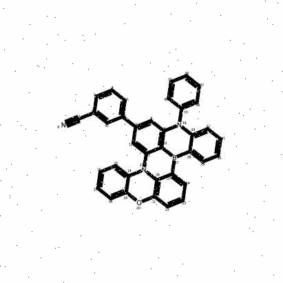 N#Cc1cccc(-c2cc3c4c(c2)N2c5ccccc5Oc5cccc(c52)B4c2ccccc2N3c2ccccc2)c1